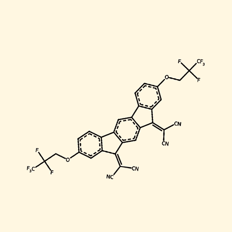 N#CC(C#N)=C1c2cc(OCC(F)(F)C(F)(F)F)ccc2-c2cc3c(cc21)C(=C(C#N)C#N)c1cc(OCC(F)(F)C(F)(F)F)ccc1-3